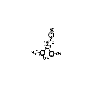 Cc1cc(-c2sc(NC(=O)N3C=C[S+]([O-])C=C3)nc2-c2cccc(C#N)c2)cc(C)n1